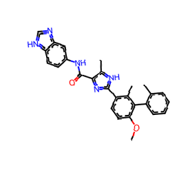 COc1ccc(-c2nc(C(=O)Nc3ccc4[nH]cnc4c3)c(C)[nH]2)c(C)c1-c1ccccc1C